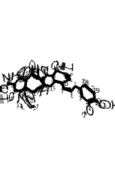 COc1cc(C/C=C\c2ccc(O)c3c2C[C@H]2C[C@H]4[C@H](N(C)C)C(O)=C(C(N)=O)C(=O)[C@@]4(O)C(O)=C2C3=O)ccc1O